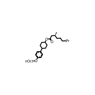 CCCCCCCCOc1ccc(C2CCC(OC(=O)C[C@@H](C)CCCC(C)C)CC2)cc1